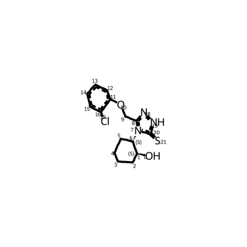 O[C@H]1CCCC[C@@H]1n1c(COc2ccccc2Cl)n[nH]c1=S